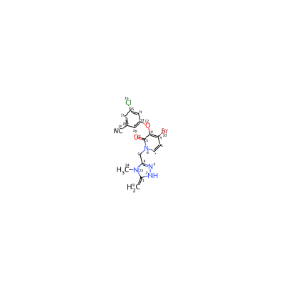 C=C1NN=C(Cn2ccc(Br)c(Oc3cc(Cl)cc(C#N)c3)c2=O)N1C